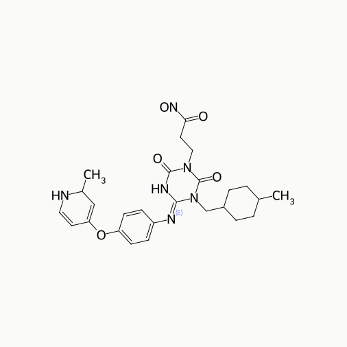 CC1CCC(Cn2c(=O)n(CCC(=O)N=O)c(=O)[nH]/c2=N\c2ccc(OC3=CC(C)NC=C3)cc2)CC1